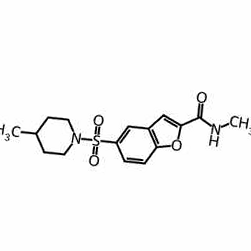 CNC(=O)c1cc2cc(S(=O)(=O)N3CCC(C)CC3)ccc2o1